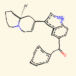 O=C(c1ccccc1)c1ccc2[nH]cc(C3=CCN4CCC[C@H]4C3)c2c1